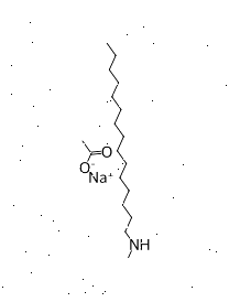 CC(=O)[O-].CCCCCCCCCCCCCCCNC.[Na+]